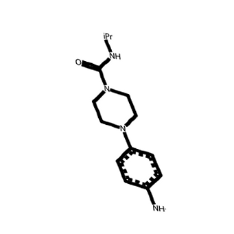 CC(C)NC(=O)N1CCN(c2ccc([NH])cc2)CC1